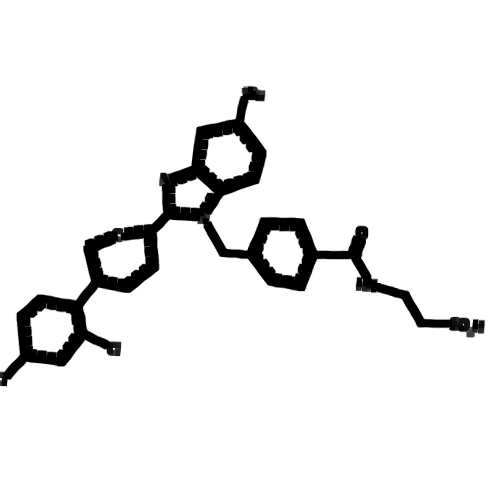 CC(C)(C)c1ccc2c(c1)nc(-c1ccc(-c3ccc(Cl)cc3Cl)cc1)n2Cc1ccc(C(=O)NCCS(=O)(=O)O)cc1